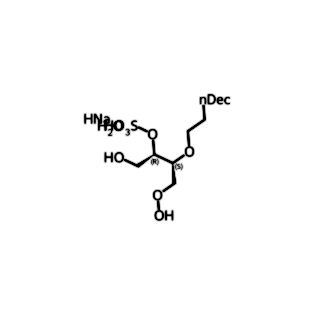 CCCCCCCCCCCCO[C@@H](COO)[C@@H](CO)OS(=O)(=O)O.O.[NaH]